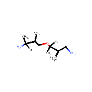 CCC(C)(N)C(C)COC(C)(CC)C(C)CN